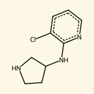 Clc1cccnc1NC1CCNC1